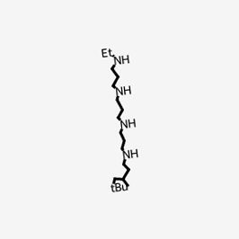 CCNCCCNCCCNCCCNCCC(C)CC(C)(C)C